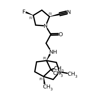 CN1C[C@]2(C)CC[C@](NCC(=O)N3C[C@@H](F)C[C@H]3C#N)(C1)C2(C)C